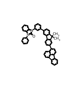 CC1(C)c2ccc(-c3cccc(-n4c(=O)n(-c5ccccc5)c5ccccc54)c3)cc2-c2ccc(-c3ccc4c5c(cccc35)-c3ccccc3-4)cc21